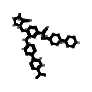 CC(C)c1ccc(-c2ccc(Oc3cc(C(=O)NC4CCN(C5CCOCC5)CC4)ccc3CN3CCNC3=O)cc2)nn1